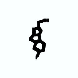 OCc1cn2c(n1)sc1cc(F)ccc12